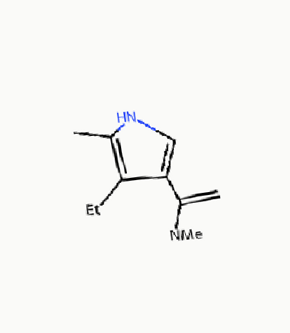 C=C(NC)c1c[nH]c(C)c1CC